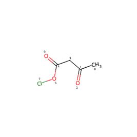 CC(=O)CC(=O)OCl